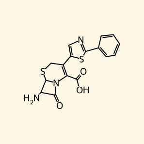 NC1C(=O)N2C(C(=O)O)=C(c3cnc(-c4ccccc4)s3)CSC12